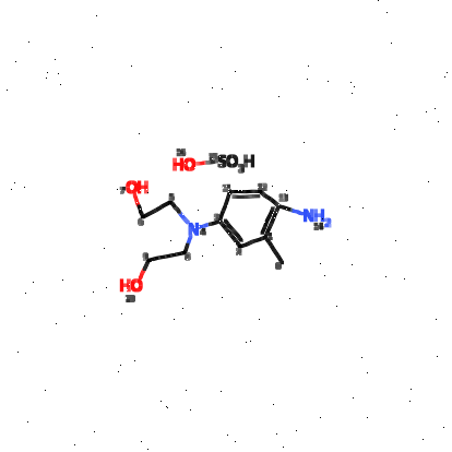 Cc1cc(N(CCO)CCO)ccc1N.O=S(=O)(O)O